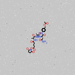 CC(=O)OCc1ccc(NC(=O)[C@H](CC(N)=O)NC(=O)[C@H](C)NC(=O)[C@H](C)NC(=O)CCCC(=O)ON2C(=O)CCC2=O)cc1